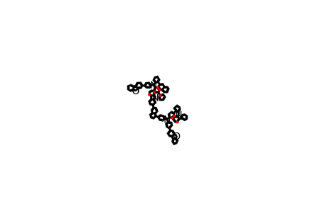 c1ccc(N(c2ccc(-c3ccc4c(c3)oc3ccccc34)cc2)c2ccc(-c3ccccc3-n3c4ccccc4c4ccc(-c5ccc6c(-c7ccc(N(c8ccc(-c9ccc%10c(c9)oc9ccccc9%10)cc8)c8ccc(-c9ccccc9-n9c%10ccccc%10c%10ccccc%109)cc8)cc7)cccc6c5)cc43)cc2)c(-c2ccc3ccccc3c2)c1